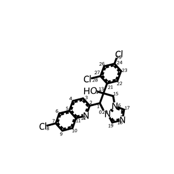 CC(c1ccc2cc(Cl)ccc2n1)C(O)(Cn1cncn1)c1ccc(Cl)cc1Cl